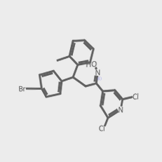 Cc1ccccc1C(C/C(=N\O)c1cc(Cl)nc(Cl)c1)c1ccc(Br)cc1